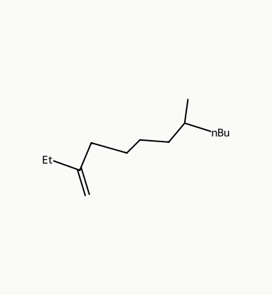 C=C(CC)CCCCC(C)CCCC